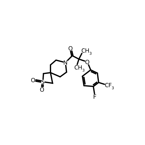 CC(C)(Oc1ccc(F)c(C(F)(F)F)c1)C(=O)N1CCC2(CC1)CS(=O)(=O)C2